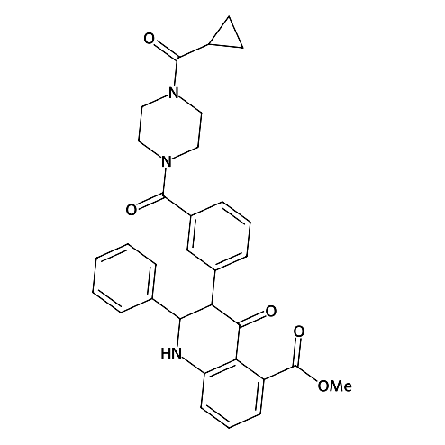 COC(=O)c1cccc2c1C(=O)C(c1cccc(C(=O)N3CCN(C(=O)C4CC4)CC3)c1)C(c1ccccc1)N2